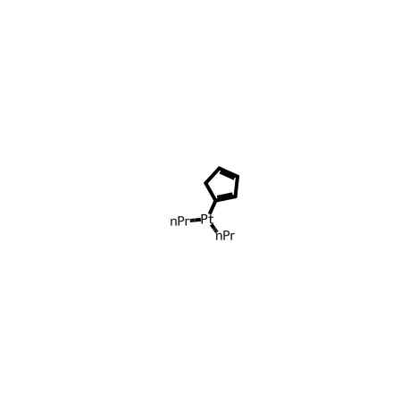 CC[CH2][Pt]([CH2]CC)[C]1=CC=CC1